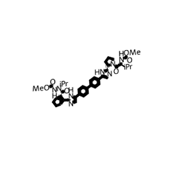 COC(=O)N[C@H](C(=O)N1CCC[C@H]1c1ncc(-c2ccc(-c3ccc(-c4cnc(C5C6CCC(C6)[C@@H]5C(=O)N(NC(=O)OC)C(C)C)[nH]4)cc3)cc2)[nH]1)C(C)C